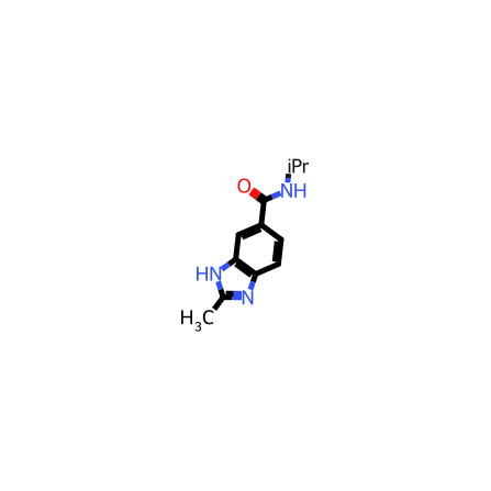 Cc1nc2ccc(C(=O)NC(C)C)cc2[nH]1